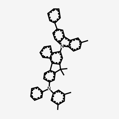 Cc1cc(C)cc(N(c2ccccc2)c2ccc3c(c2)C(C)(C)c2cc(-n4c5ccc(C)cc5c5cc(-c6ccccc6)ccc54)c4ccccc4c2-3)c1